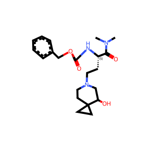 CN(C)C(=O)[C@H](CCN1CCC2(CC2)C(O)C1)NC(=O)OCc1ccccc1